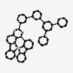 c1ccc(-c2cc(-c3ccccc3)cc(-c3cccc(-c4cccc(-c5nc(-c6cccc7c6oc6ccccc67)c6c(ccc7c8ccccc8sc76)n5)c4)c3)c2)cc1